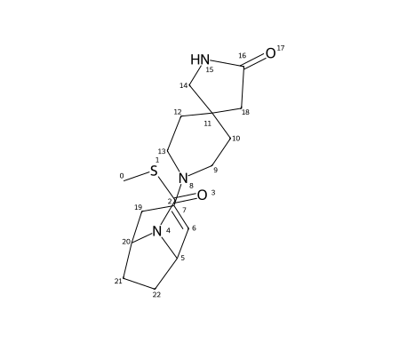 CSC(=O)N1C2C=C(N3CCC4(CC3)CNC(=O)C4)CC1CC2